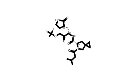 CC(C)CC(=O)N1CC2(CC2)C[C@H]1C(=O)N[C@@H](C[C@@H]1CCNC1=O)C(=O)COC(F)(F)F